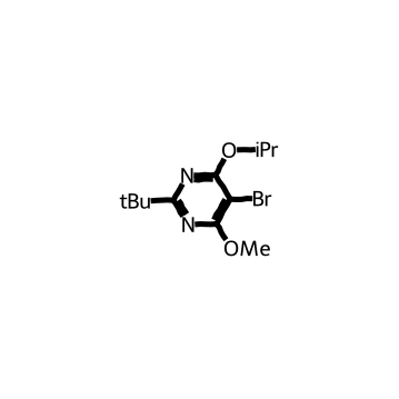 COc1nc(C(C)(C)C)nc(OC(C)C)c1Br